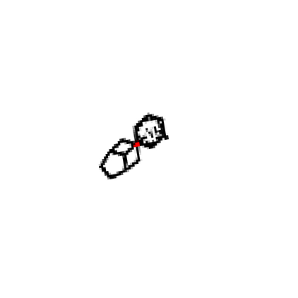 NC1CC2CCC(C1)C2c1ccccc1